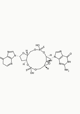 Nc1nc2c(ncn2[C@@H]2O[C@@H]3COP(O)(=S)O[C@H]4C[C@H](n5cnc6c5N=CCC6=O)O[C@@H]4COP(O)(=S)O[C@@H]2[C@@H]3F)c(=O)[nH]1